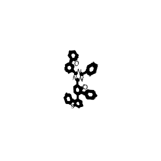 c1ccc(-c2nc(-c3cccc4c3oc3ccccc34)nc(-c3ccc(-c4cccc5sc6ccccc6c45)c4c3oc3ccccc34)n2)cc1